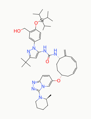 C=C1/C=C\C=C/C[C@H](Oc2ccc3nnc(N4CCCC[C@@H]4C)n3c2)CC[C@@H]1NC(=O)Nc1cc(C(C)(C)C)nn1-c1ccc(O[Si](C(C)C)(C(C)C)C(C)C)c(CO)c1